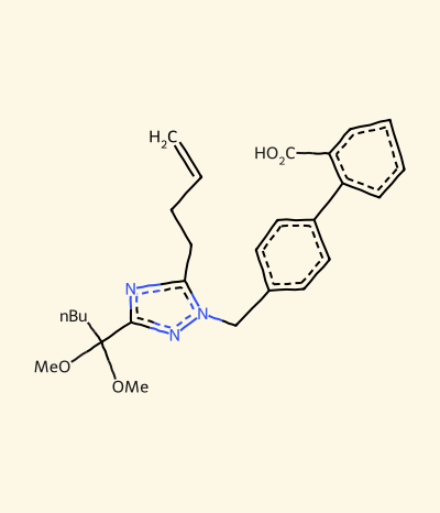 C=CCCc1nc(C(CCCC)(OC)OC)nn1Cc1ccc(-c2ccccc2C(=O)O)cc1